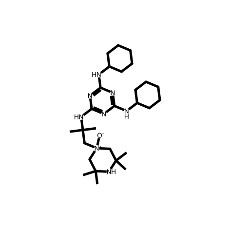 CC(C)(C[N+]1([O-])CC(C)(C)NC(C)(C)C1)Nc1nc(NC2CCCCC2)nc(NC2CCCCC2)n1